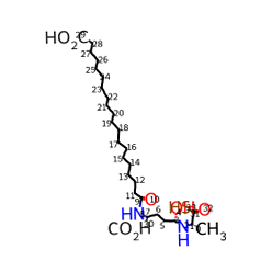 C[C@H](N[C@@H](O)CC[C@H](NC(=O)CCCCCCCCCCCCCCCCCCC(=O)O)C(=O)O)C(=O)S